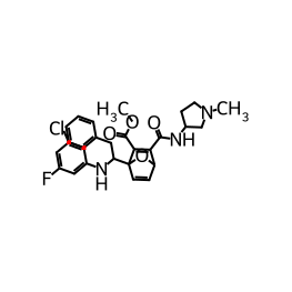 COC(=O)C1=C(C(=O)NC2CCN(C)C2)C2C=CC1(C(Cc1ccccc1)Nc1cc(F)cc(Cl)c1)O2